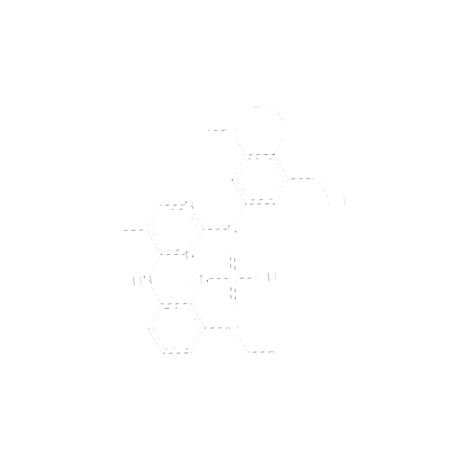 CCOc1cccc(Nc2nc(Nc3cc(OC)c(OC)c(OC)c3)ncc2F)c1NS(=O)(=O)O